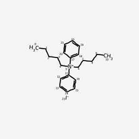 CCCCC[N+](CCCCC)(c1ccccc1)c1ccccc1.[I-]